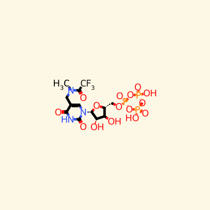 CN(Cc1cn([C@@H]2O[C@H](COP3(=O)OP(=O)(O)OP(=O)(O)O3)C(O)[C@@H]2O)c(=O)[nH]c1=O)C(=O)C(F)(F)F